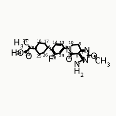 COc1nc(N)c2c(n1)CCN(c1ccc([C@H]3CC[C@H](C(C)C(=O)O)CC3)c(F)c1)C2=O